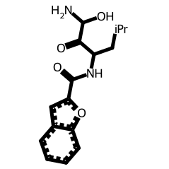 CC(C)CC(NC(=O)c1cc2ccccc2o1)C(=O)C(N)O